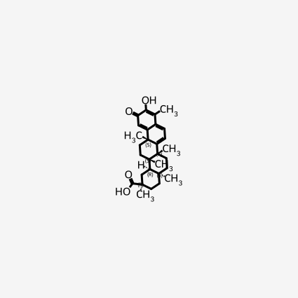 CC1=C(O)C(=O)C=C2C1=CC=C1[C@]2(C)CC[C@@]2(C)[C@@H]3C[C@](C)(C(=O)O)CC[C@]3(C)CC[C@@]12C